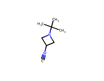 [C-]#[N+]C1CN(C(C)(C)C)C1